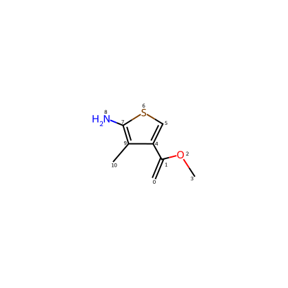 C=C(OC)c1csc(N)c1C